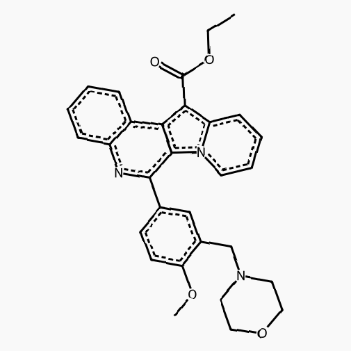 CCOC(=O)c1c2c3ccccc3nc(-c3ccc(OC)c(CN4CCOCC4)c3)c2n2ccccc12